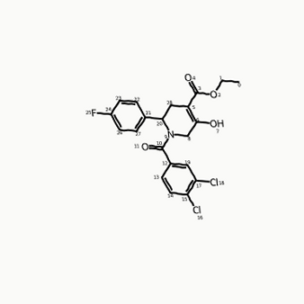 CCOC(=O)C1=C(O)CN(C(=O)c2ccc(Cl)c(Cl)c2)C(c2ccc(F)cc2)C1